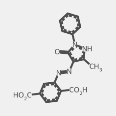 Cc1[nH]n(-c2ccccc2)c(=O)c1N=Nc1cc(C(=O)O)ccc1C(=O)O